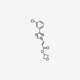 O=C(/C=C/n1cnc(-c2cccc(Cl)c2)n1)OC1COC1